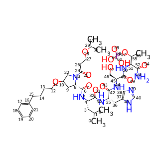 CC(C)C[C@H](NC(=O)[C@@H]1C[C@@H](OCCCCc2ccccc2)CN1C(=O)CCOC(C)C)C(=O)N[C@@H](Cc1cnc[nH]1)C(=O)N[C@@H](CO)C(=O)N[C@H](C(N)=O)C(C)OP(=O)(O)O